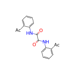 CC(=O)c1ccccc1NC(=O)C(=O)Nc1ccccc1C(C)=O